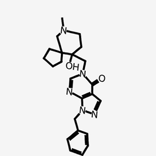 CN1CCC(O)(Cn2cnc3c(cnn3Cc3ccccc3)c2=O)C2(CCCC2)C1